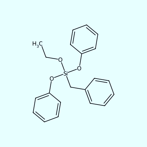 CCO[Si](Cc1ccccc1)(Oc1ccccc1)Oc1ccccc1